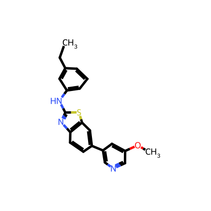 CCc1cccc(Nc2nc3ccc(-c4cncc(OC)c4)cc3s2)c1